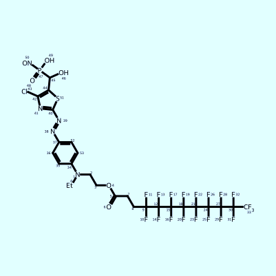 CCN(CCOC(=O)CCC(F)(F)C(F)(F)C(F)(F)C(F)(F)C(F)(F)C(F)(F)C(F)(F)C(F)(F)C(F)(F)F)c1ccc(/N=N/c2nc(Cl)c(C(O)P(=O)(O)N=O)s2)cc1